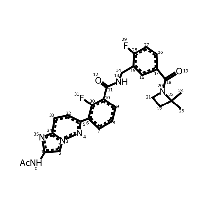 CC(=O)Nc1cn2nc(-c3cccc(C(=O)NCc4cc(C(=O)N5CCC5(C)C)ccc4F)c3F)ccc2n1